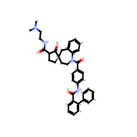 CN(C)CCNC(=O)C1CC[C@@]2(CCN(C(=O)c3ccc(NC(=O)c4ccccc4-c4ccccc4)cc3)c3ccccc3C2)C1=O